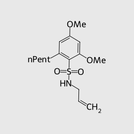 C=CCNS(=O)(=O)c1c(CCCCC)cc(OC)cc1OC